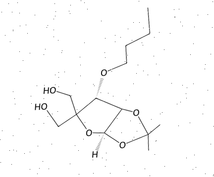 CCCCO[C@@H]1C2OC(C)(C)O[C@H]2OC1(CO)CO